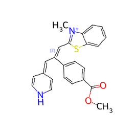 COC(=O)c1ccc(/C(C=C2C=CNC=C2)=C\c2sc3ccccc3[n+]2C)cc1